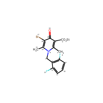 CCOC(=O)c1c(C)n(Cc2c(F)cccc2F)c(C)c(Br)c1=O